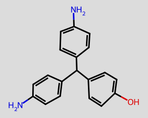 Nc1ccc(C(c2ccc(N)cc2)c2ccc(O)cc2)cc1